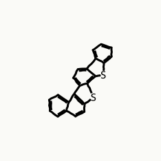 c1ccc2c(c1)ccc1sc3c(ccc4c5ccccc5sc43)c12